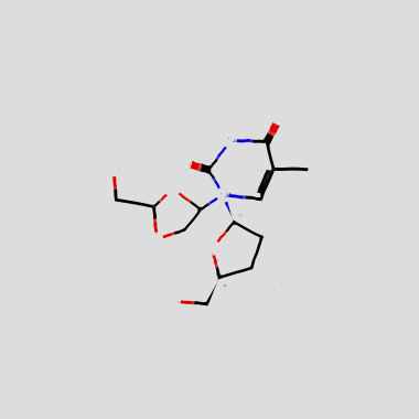 CC1=C[N+](C2COC(CO)O2)([C@H]2C[C@H](O)[C@@H](CO)O2)C(=O)NC1=O